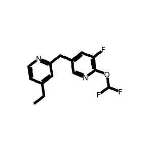 CCc1ccnc(Cc2cnc(OC(F)F)c(F)c2)c1